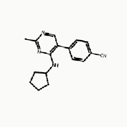 Cc1ncc(-c2ccc(C#N)cc2)c(NC2CCCC2)n1